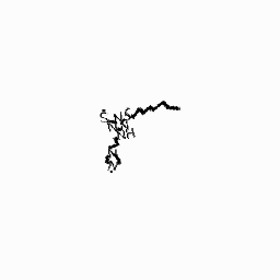 CCCCCCCCSc1nc(NCCCN2CCN(C)CC2)nc(SC)n1